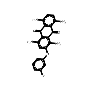 Nc1ccc(N)c2c1C(=O)c1c(N)cc(Oc3cccc(Br)c3)c(N)c1C2=O